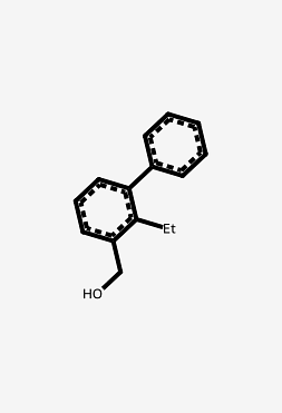 CCc1c(CO)cccc1-c1ccccc1